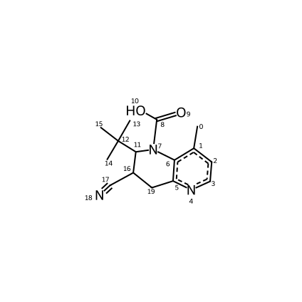 Cc1ccnc2c1N(C(=O)O)C(C(C)(C)C)C(C#N)C2